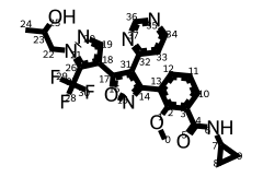 COc1c(C(=O)NC2CC2)cccc1-c1noc(-c2cnn(CC(C)O)c2C(F)(F)F)c1-c1ccncn1